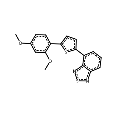 COc1ccc(-c2ccc(-c3cccc4nsnc34)s2)c(OC)c1